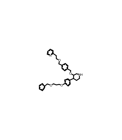 c1ccc(COCCCOc2ccc(C3CCNCC3OCc3ccc(COCCc4ccccn4)cc3)cc2)cc1